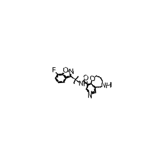 CC(C)(NC(=O)c1cncc2c1OCCNC2)c1noc2c(F)cccc12